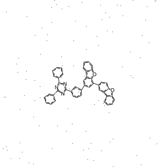 c1ccc(-c2nc(-c3ccccc3)nc(-c3cccc(-c4cc(-c5ccc6oc7ccccc7c6c5)c5oc6ccccc6c5c4)c3)n2)cc1